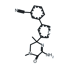 CN1CC(C)(c2cccc(-c3cccc(C#N)c3)c2)N=C(N)C1=O